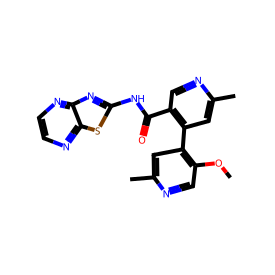 COc1cnc(C)cc1-c1cc(C)ncc1C(=O)Nc1nc2nccnc2s1